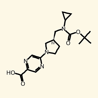 CC(C)(C)OC(=O)N(C[C@H]1CCN(c2cnc(C(=O)O)cn2)C1)C1CC1